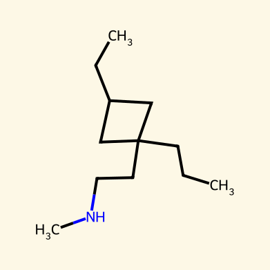 CCCC1(CCNC)CC(CC)C1